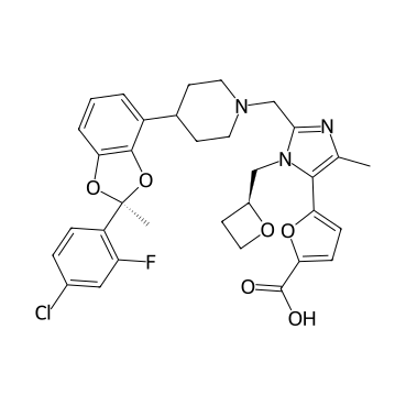 Cc1nc(CN2CCC(c3cccc4c3O[C@@](C)(c3ccc(Cl)cc3F)O4)CC2)n(C[C@@H]2CCO2)c1-c1ccc(C(=O)O)o1